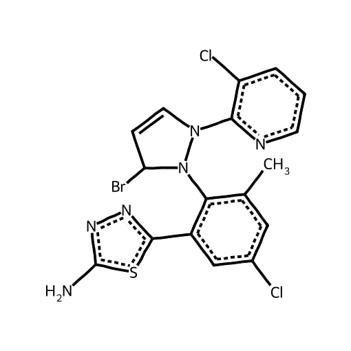 Cc1cc(Cl)cc(-c2nnc(N)s2)c1N1C(Br)C=CN1c1ncccc1Cl